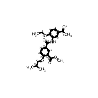 CCOc1ccc(C(C)=O)cc1NC(=O)c1ccc(OCC(C)C)c(C(=O)OC)c1